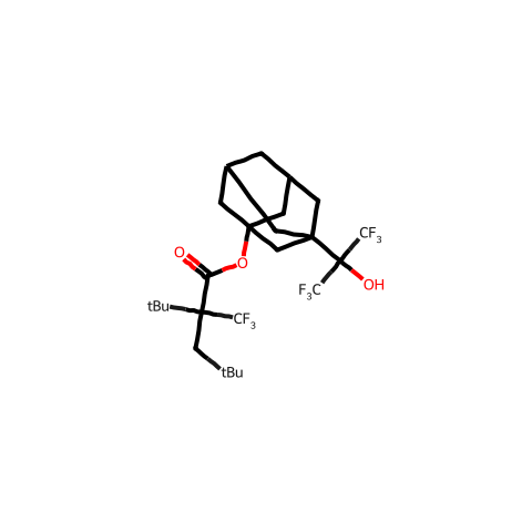 CC(C)(C)CC(C(=O)OC12CC3CC(C1)CC(C(O)(C(F)(F)F)C(F)(F)F)(C3)C2)(C(C)(C)C)C(F)(F)F